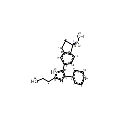 OCCc1nc(-c2ccncc2)c(-c2ccc3c(c2)CC/C3=N\O)[nH]1